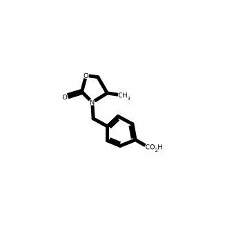 CC1COC(=O)N1Cc1ccc(C(=O)O)cc1